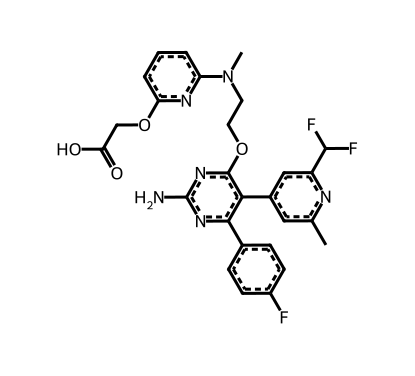 Cc1cc(-c2c(OCCN(C)c3cccc(OCC(=O)O)n3)nc(N)nc2-c2ccc(F)cc2)cc(C(F)F)n1